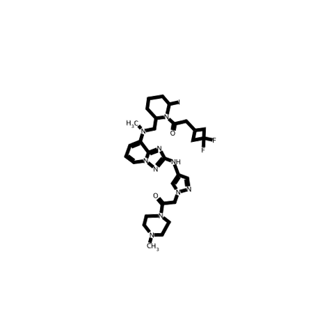 CN1CCN(C(=O)Cn2cc(Nc3nc4c(N(C)CC5CCCC(I)N5C(=O)CC5CC(F)(F)C5)cccn4n3)cn2)CC1